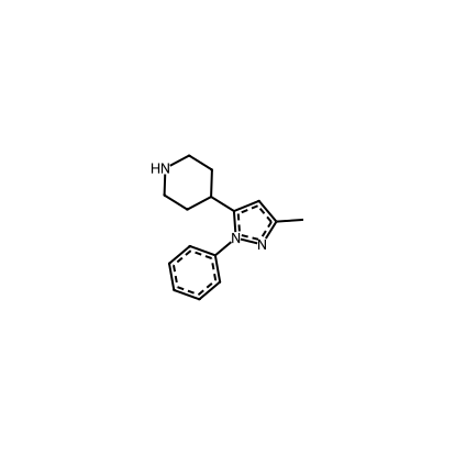 Cc1cc(C2CCNCC2)n(-c2ccccc2)n1